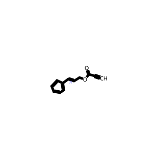 C#CC(=O)OC/C=C/c1ccccc1